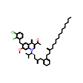 C=C(CCCCCCCCCCCCC)CCC1=CCCC=C1CC(=C)CC[C@@H](C(C)C)N1C=C(C(C)=O)C(=C)c2cc(Cc3cccc(Cl)c3F)c(OC)cc21